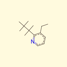 CCc1cccnc1C(C)(C)C(C)(C)C